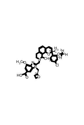 [2H]C([2H])([2H])Oc1cc(Cl)ccc1[C@@]1(C)C=Cc2ccc3c(c2O1)C(C)N(Cc1nc2c(OC)cc(C(=O)O)cc2n1C[C@@H]1CCO1)CC3